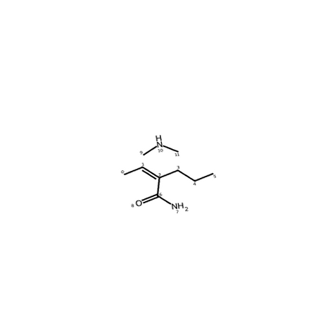 CC=C(CCC)C(N)=O.CNC